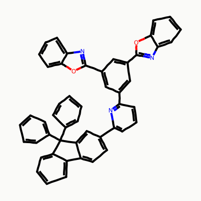 c1ccc(C2(c3ccccc3)c3ccccc3-c3ccc(-c4cccc(-c5cc(-c6nc7ccccc7o6)cc(-c6nc7ccccc7o6)c5)n4)cc32)cc1